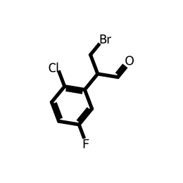 O=CC(CBr)c1cc(F)ccc1Cl